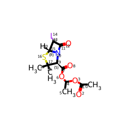 CC(=O)OC(C)OC(=O)[C@@H]1N2C(=O)[C@@H](I)[C@H]2SC1(C)C